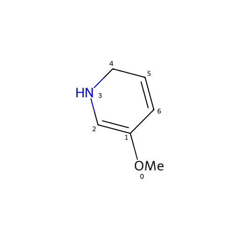 COC1=CNCC=C1